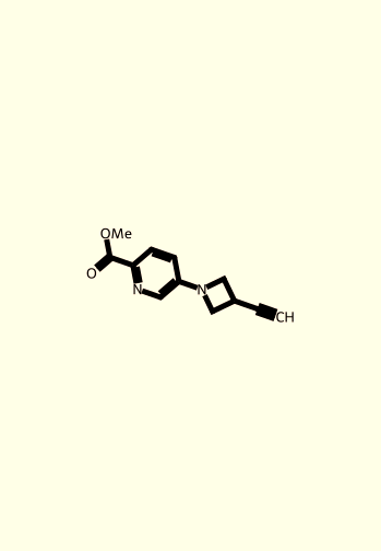 C#CC1CN(c2ccc(C(=O)OC)nc2)C1